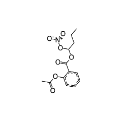 CCCC(OC(=O)c1ccccc1OC(C)=O)O[N+](=O)[O-]